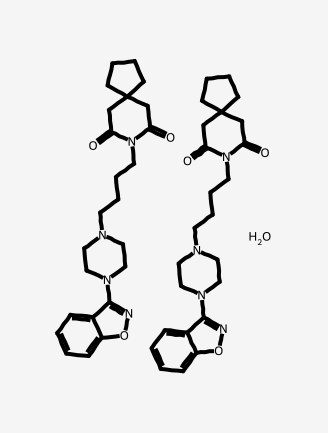 O.O=C1CC2(CCCC2)CC(=O)N1CCCCN1CCN(c2noc3ccccc23)CC1.O=C1CC2(CCCC2)CC(=O)N1CCCCN1CCN(c2noc3ccccc23)CC1